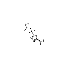 CBn1cc(C(C)(C)CC(C)C(C)C)nn1